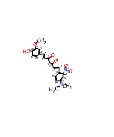 COc1cc(C=CC(=O)CC(=O)C=Cc2ccc(N(C)C)cc2[N+](=O)[O-])ccc1O